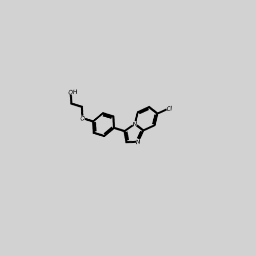 OCCOc1ccc(-c2cnc3cc(Cl)ccn23)cc1